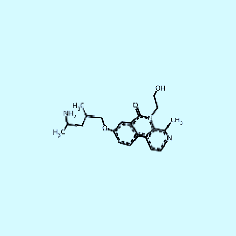 Cc1nccc2c3ccc(OCC(C)CC(C)N)cc3c(=O)n(CCO)c12